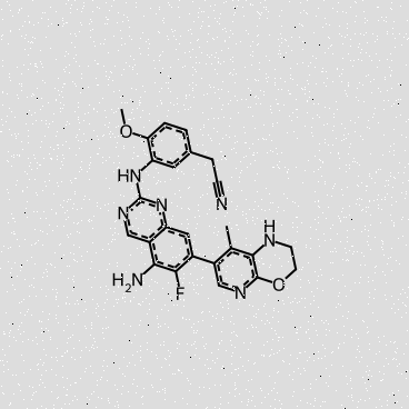 COc1ccc(CC#N)cc1Nc1ncc2c(N)c(F)c(-c3cnc4c(c3C)NCCO4)cc2n1